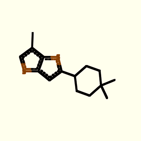 Cc1csc2cc(C3CCC(C)(C)CC3)sc12